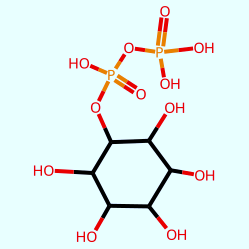 O=P(O)(O)OP(=O)(O)OC1C(O)C(O)C(O)C(O)C1O